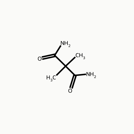 CC(C)(C(N)=O)C(N)=O